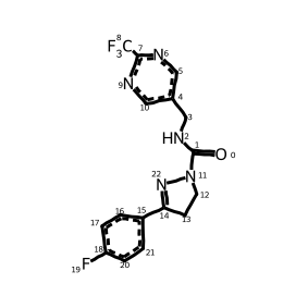 O=C(NCc1cnc(C(F)(F)F)nc1)N1CCC(c2ccc(F)cc2)=N1